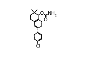 CC1(C)CCc2cc(-c3ccc(Cl)cc3)ccc2C1OC(N)=O